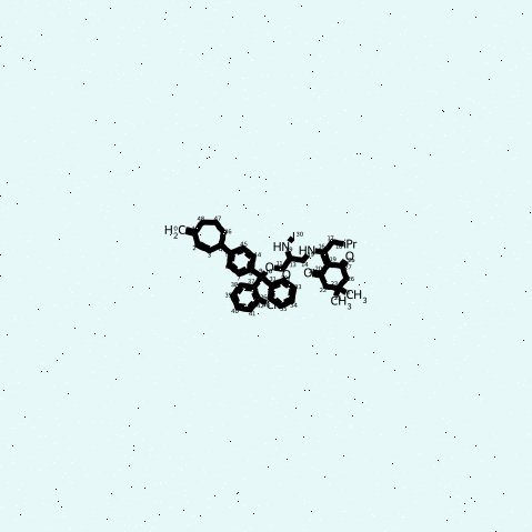 C=C1C=CC(c2ccc(C(OC(=O)C(CNC(CC(C)C)=C3C(=O)CC(C)(C)CC3=O)NI)(c3ccccc3)c3ccccc3Cl)cc2)CCC1